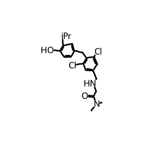 CC(C)c1cc(Cc2c(Cl)cc(CNCC(=O)N(C)C)cc2Cl)ccc1O